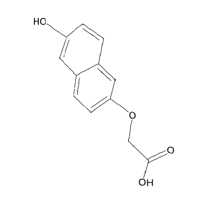 O=C(O)COc1ccc2cc(O)ccc2c1